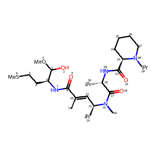 COC(O)[C@H](CCSC)NC(=O)/C(C)=C/[C@H](C(C)C)N(C)C(=O)[C@@H](NC(=O)[C@H]1CCCCN1C(C)C)C(C)C